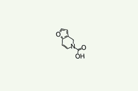 O=C(O)N1C=Cc2occc2C1